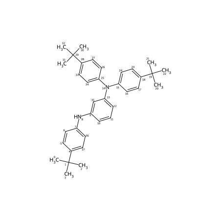 CC(C)(C)c1ccc(Nc2cccc(N(c3ccc(C(C)(C)C)cc3)c3ccc(C(C)(C)C)cc3)c2)cc1